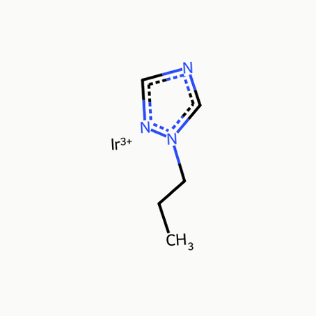 CCCn1cncn1.[Ir+3]